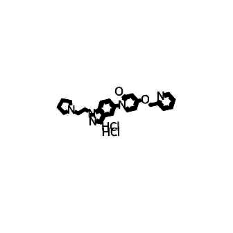 Cl.Cl.O=c1cc(OCc2ccccn2)ccn1-c1ccc2c(cnn2CCN2CCCC2)c1